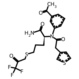 CC(=O)c1cccc(N(C(=O)Cc2ccsc2)[C@@H](CCCSCC(=O)C(F)(F)F)C(N)=O)c1